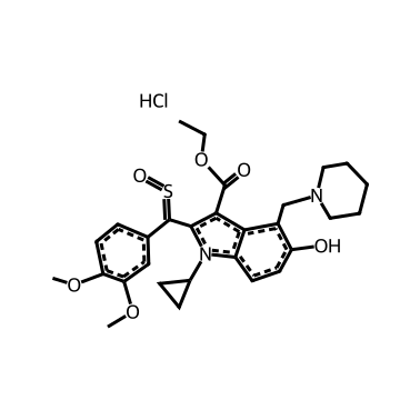 CCOC(=O)c1c(C(=S=O)c2ccc(OC)c(OC)c2)n(C2CC2)c2ccc(O)c(CN3CCCCC3)c12.Cl